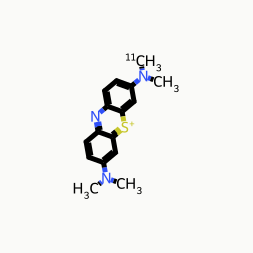 CN(C)c1ccc2nc3ccc(N(C)[11CH3])cc3[s+]c2c1